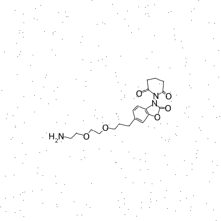 NCCOCCOCCCc1ccc2c(c1)oc(=O)n2N1C(=O)CCCC1=O